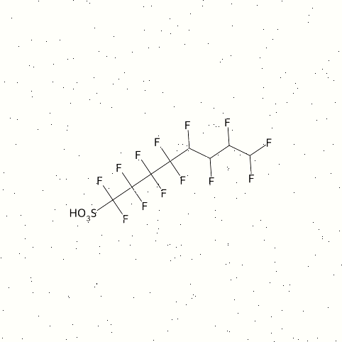 O=S(=O)(O)C(F)(F)C(F)(F)C(F)(F)C(F)(F)C(F)C(F)C(F)C(F)F